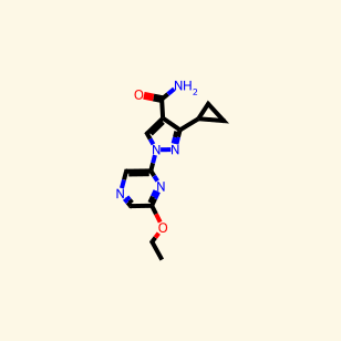 CCOc1cncc(-n2cc(C(N)=O)c(C3CC3)n2)n1